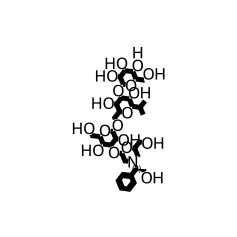 CC(C)C1OC(COC2OC(CO)C(O)C(OC3CN([C@@H](CO)c4ccccc4)CC(CO)O3)C2O)C(O)C(OC2OC(CO)C(O)C(O)C2O)C1O